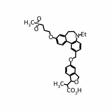 CCN1CCc2cc(OCCCS(C)(=O)=O)ccc2-c2cc(COc3ccc4c(c3)COC4C(C)C(=O)O)ccc21